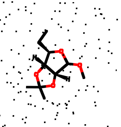 CC[C@H]1OC(OC)[C@@H]2OC(C)(C)O[C@H]12